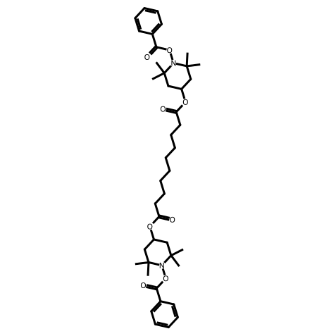 CC1(C)CC(OC(=O)CCCCCCCCC(=O)OC2CC(C)(C)N(OC(=O)c3ccccc3)C(C)(C)C2)CC(C)(C)N1OC(=O)c1ccccc1